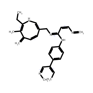 C=N/C=C\C(=N/CC1=C/N/C(CC)=C(/C)C(=C)/C=C\1)Nc1ccc(C(/C=N\C)=C/C)cc1